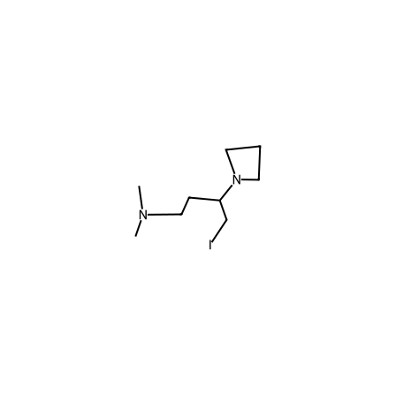 CN(C)CCC(CI)N1CCC1